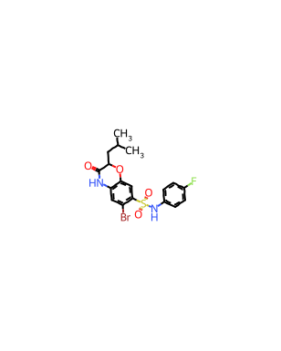 CC(C)CC1Oc2cc(S(=O)(=O)Nc3ccc(F)cc3)c(Br)cc2NC1=O